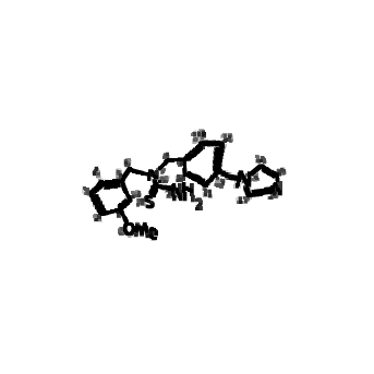 COc1cccc(CN(Cc2ccc(-n3ccnc3)cc2)C(N)=S)c1